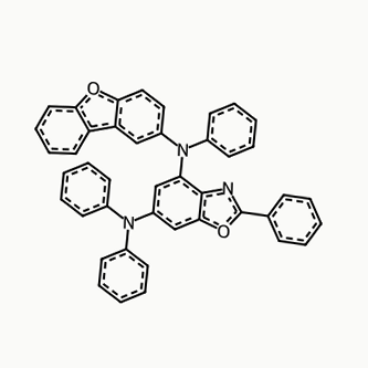 c1ccc(-c2nc3c(N(c4ccccc4)c4ccc5oc6ccccc6c5c4)cc(N(c4ccccc4)c4ccccc4)cc3o2)cc1